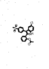 CC(=O)Oc1ccccc1-c1[nH]c2ccc(Cl)cc2c1-c1ccc(S(C)(=O)=O)cc1